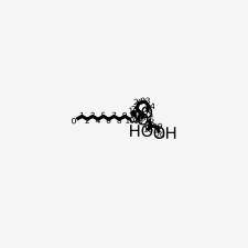 CCCCCCCCCCC[Si](C)(C)C1(OCC(O)CO)CCCCO1